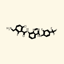 NCc1ccc(Cl)c(C(=O)Nc2cccc3c(Nc4ccc(C(F)(F)F)cc4F)ncnc23)c1F